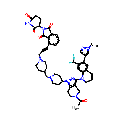 CC(=O)N1CCc2c(c(N3CCCc4cc(-c5cnn(C)c5)c(C(F)F)cc43)nn2C2CCN(CC3CCN(CC#Cc4cccc5c4C(=O)N(C4CCC(=O)NC4=O)C5=O)CC3)CC2)C1